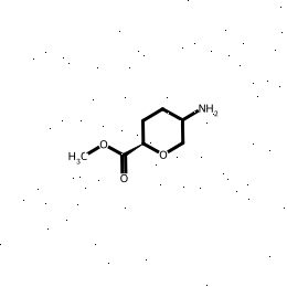 COC(=O)[C@H]1CCC(N)CO1